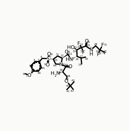 COc1ccc(CS(=O)(=O)[C@@H]2C[C@@H](C(=O)N[C@@H](C(C)C)[C@@H](O)C(F)(F)C(=O)NCC(F)(F)F)N(C(=O)[C@@H](N)COC(C)(C)C)C2)cc1